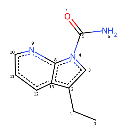 CCc1cn(C(N)=O)c2ncccc12